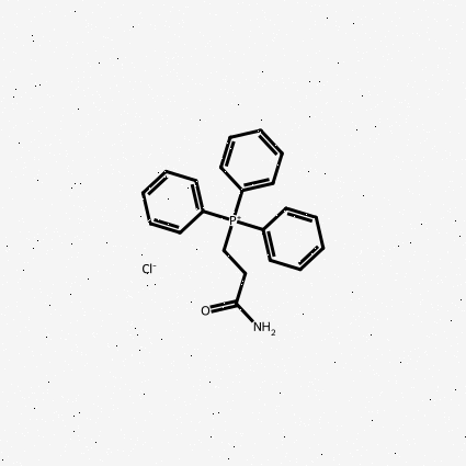 NC(=O)CC[P+](c1ccccc1)(c1ccccc1)c1ccccc1.[Cl-]